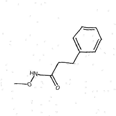 CONC(=O)C[CH]c1ccccc1